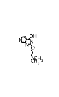 CN(C)CCCOc1nc(O)c2ccncc2n1